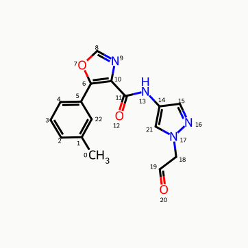 Cc1cccc(-c2ocnc2C(=O)Nc2cnn(CC=O)c2)c1